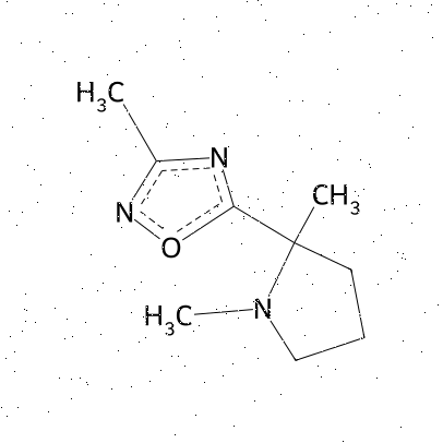 Cc1noc(C2(C)CCCN2C)n1